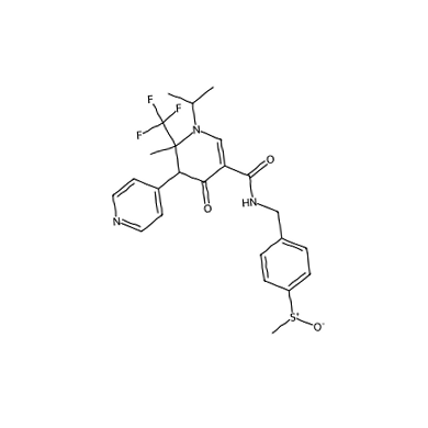 CC(C)N1C=C(C(=O)NCc2ccc([S+](C)[O-])cc2)C(=O)C(c2ccncc2)C1(C)C(F)(F)F